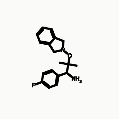 CC(C)(ON1Cc2ccccc2C1)C(N)c1ccc(F)cc1